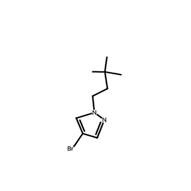 CC(C)(C)CCn1cc(Br)cn1